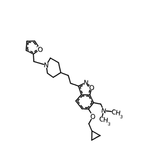 CN(C)Cc1c(OCC2CC2)ccc2c(CCC3CCN(Cc4ccco4)CC3)noc12